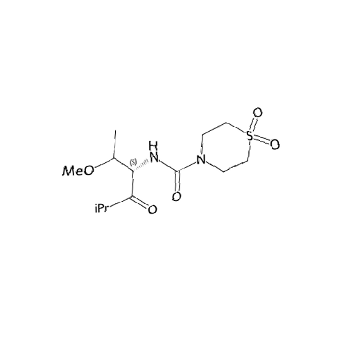 COC(C)[C@H](NC(=O)N1CCS(=O)(=O)CC1)C(=O)C(C)C